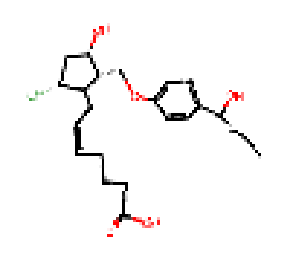 CCCC(O)c1ccc(OC[C@@H]2[C@@H](C/C=C\CCCC(=O)O)[C@H](Cl)C[C@H]2O)cc1